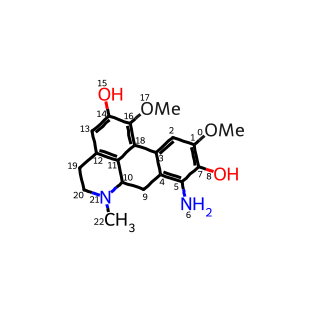 COc1cc2c(c(N)c1O)CC1c3c(cc(O)c(OC)c3-2)CCN1C